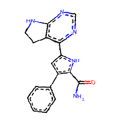 NC(=O)c1[nH]c(-c2ncnc3c2CCN3)cc1-c1ccccc1